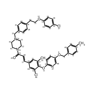 Cc1ccc(COc2ccc(Oc3c(C)cc(C=CC(=O)N4CCN(Cc5ccc(CCOc6ccc(Cl)cc6)cc5)CC4)cc3Cl)nc2)cc1